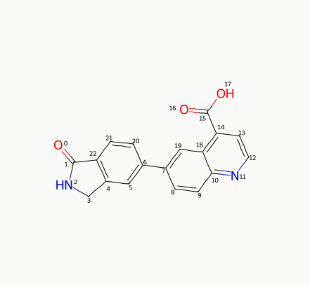 O=C1NCc2cc(-c3ccc4nccc(C(=O)O)c4c3)ccc21